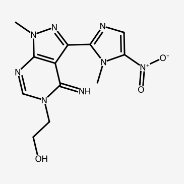 Cn1c([N+](=O)[O-])cnc1-c1nn(C)c2ncn(CCO)c(=N)c12